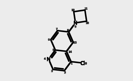 Clc1ccnc2ccc(N3CCC3)cc12